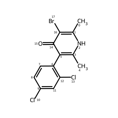 Cc1[nH]c(C)c(-c2ccc(Cl)cc2Cl)c(=O)c1Br